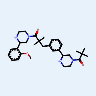 COc1ccccc1C1CN(C(=O)C(C)(C)Cc2cccc(C3CN(C(=O)C(C)(C)C)CCN3)c2)CCN1